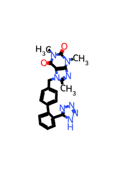 Cc1nc2c(c(=O)n(C)c(=O)n2C)n1Cc1ccc(-c2ccccc2-c2nnn[nH]2)cc1